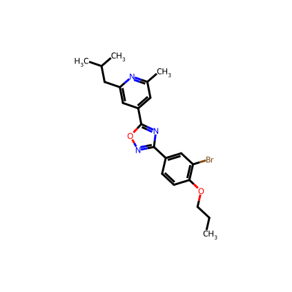 CCCOc1ccc(-c2noc(-c3cc(C)nc(CC(C)C)c3)n2)cc1Br